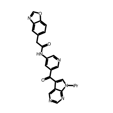 CC(C)n1cc(C(=O)c2cncc(NC(=O)Cc3ccc4ocnc4c3)c2)c2cncnc21